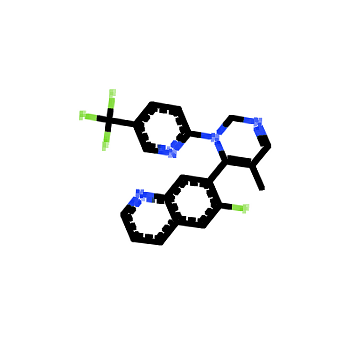 CC1=C(c2cc3ncccc3cc2F)N(c2ccc(C(F)(F)F)cn2)CN=C1